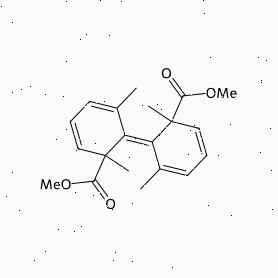 COC(=O)C1(C)C=CC=C(C)/C1=C1/C(C)=CC=CC1(C)C(=O)OC